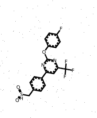 O=[SH](=O)Cc1ccc(-c2cc(C(F)(F)F)nc(Oc3ccc(F)cc3)n2)cc1